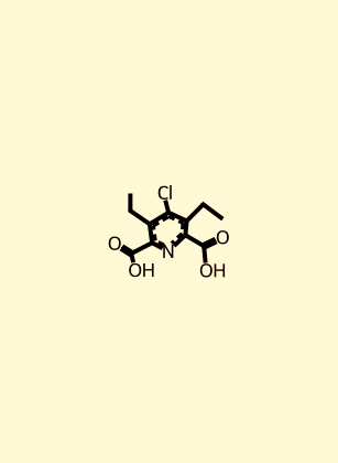 CCc1c(C(=O)O)nc(C(=O)O)c(CC)c1Cl